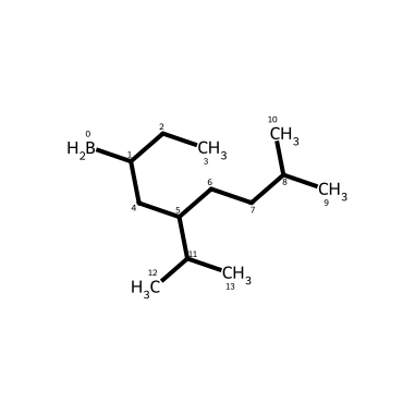 BC(CC)CC(CCC(C)C)C(C)C